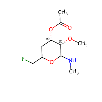 CNC1OC(CF)C[C@H](OC(C)=O)[C@@H]1OC